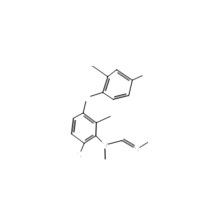 CN=CN(C)c1c([N+](=O)[O-])ccc(Oc2ccc(C(F)(F)F)cc2Cl)c1Cl